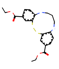 CCOC(=O)c1ccc2c(c1)SSc1cc(C(=O)OCC)ccc1NCCCN2